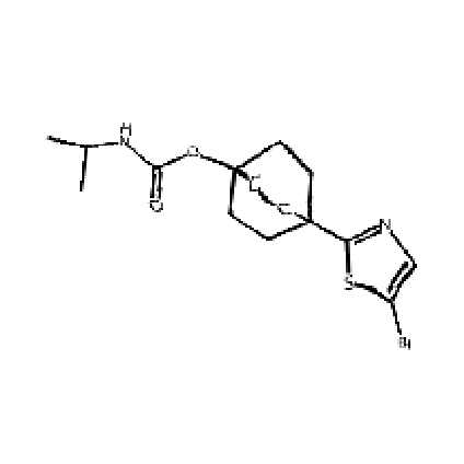 CC(C)NC(=O)OC12CCC(c3ncc(Br)s3)(CC1)CC2